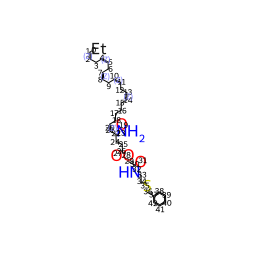 CC/C=C\C/C=C\C/C=C\C/C=C\C/C=C\CCCC(=O)/C=C\C(N)CCC(=O)OCC(=O)NCCSCc1ccccc1